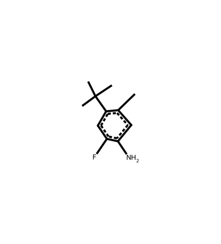 Cc1cc(N)c(F)cc1C(C)(C)C